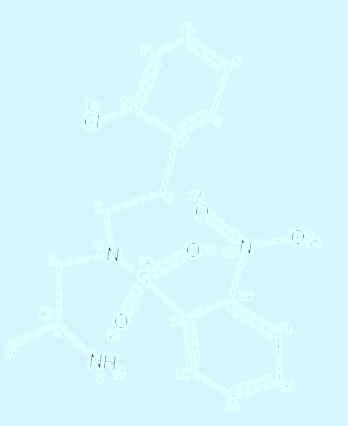 C[C@@H](N)CN(CCc1ccccc1Cl)S(=O)(=O)c1ccccc1[N+](=O)[O-]